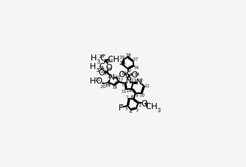 COc1ccc(F)cc1-c1ccnc2c1cc(C1=C[C@@H](CO)N(C(=O)OC(C)(C)C)C1)n2S(=O)(=O)c1ccccc1